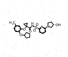 Cc1ccc(OC2CCCC2)c(OC2(C(=O)NS(=O)(=O)c3cccc(N4CC[C@H](O)C4)n3)CC2)c1